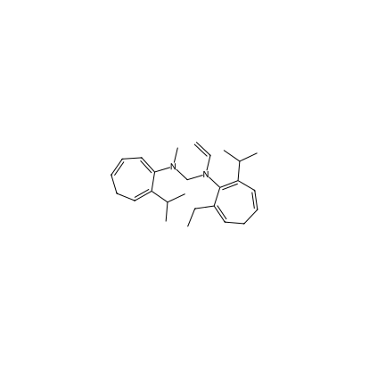 C=CN(CN(C)C1=CC=CCC=C1C(C)C)C1=C(C(C)C)C=CCC=C1CC